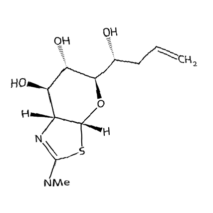 C=CC[C@@H](O)[C@H]1O[C@@H]2SC(NC)=N[C@@H]2[C@@H](O)[C@@H]1O